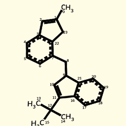 CC1=Cc2cccc(CC3C=C(C(C)(C)C)c4ccccc43)c2C1